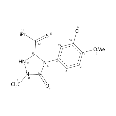 COc1ccc(N2C(=O)N(C(Cl)(Cl)Cl)NC2C(=S)C(C)C)cc1Cl